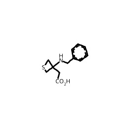 O=C(O)CC1(NCc2ccccc2)CSC1